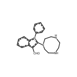 O=Cc1c(N2CCNCCNCC2)n(-c2ccccc2)c2ccccc12